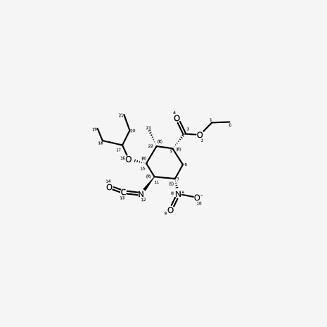 CCOC(=O)[C@@H]1C[C@H]([N+](=O)[O-])[C@@H](N=C=O)[C@H](OC(CC)CC)[C@@H]1C